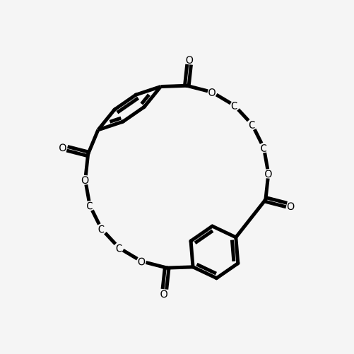 O=C1OCCCOC(=O)c2ccc(cc2)C(=O)OCCCOC(=O)c2ccc1cc2